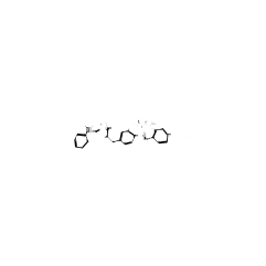 CCN(C1=NC(=O)C(Cc2ccc(OCc3ccc(C(F)(F)F)cc3C(F)(F)F)c(OC)c2)S1)c1ccccc1